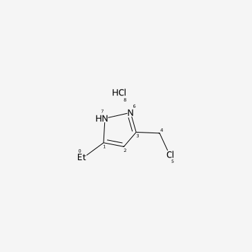 CCc1cc(CCl)n[nH]1.Cl